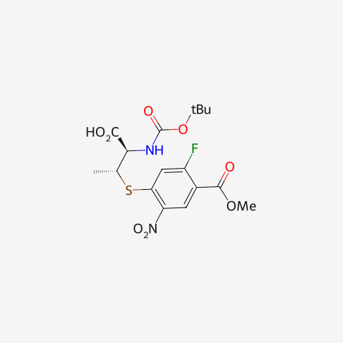 COC(=O)c1cc([N+](=O)[O-])c(S[C@H](C)[C@H](NC(=O)OC(C)(C)C)C(=O)O)cc1F